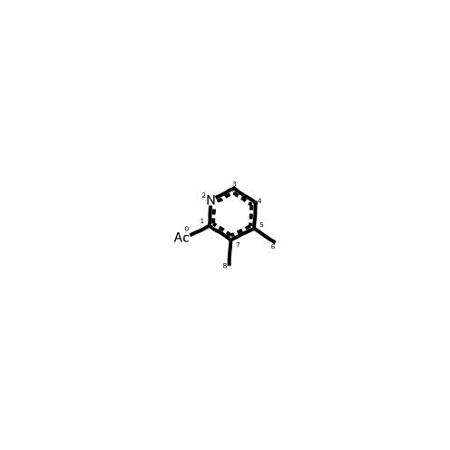 CC(=O)c1nccc(C)c1C